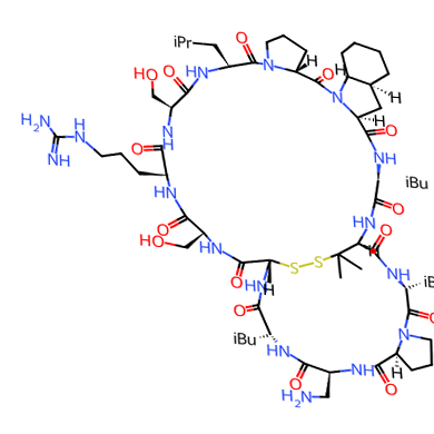 CC[C@H](C)[C@@H]1NC(=O)[C@@H]2C[C@@H]3CCCC[C@@H]3N2C(=O)[C@H]2CCCN2C(=O)[C@H](CC(C)C)NC(=O)[C@H](CO)NC(=O)[C@H](CCCNC(=N)N)NC(=O)[C@H](CO)NC(=O)[C@H]2NC(=O)[C@@H]([C@@H](C)CC)NC(=O)[C@H](CN)NC(=O)[C@@H]3CCCN3C(=O)[C@H]([C@@H](C)CC)NC(=O)[C@@H](NC1=O)C(C)(C)SS2